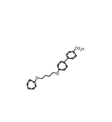 O=C(O)c1ccc(-c2ccc(OCCCCOc3ccccc3)cc2)cc1